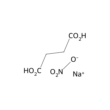 O=C(O)CCC(=O)O.O=[N+]([O-])[O-].[Na+]